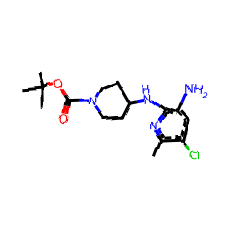 Cc1nc(NC2CCN(C(=O)OC(C)(C)C)CC2)c(N)cc1Cl